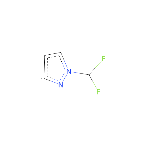 FC(F)n1cc[c]n1